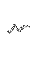 COCC(C)OC(=O)Cc1ccc(F)cc1OCc1cc(-c2cccc(CN)c2)c2occc2c1